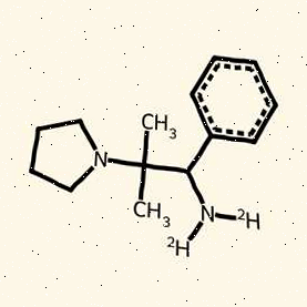 [2H]N([2H])C(c1ccccc1)C(C)(C)N1CCCC1